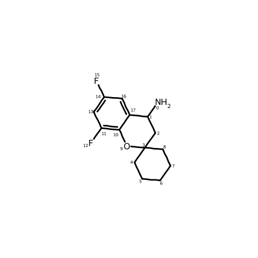 NC1CC2(CCCCC2)Oc2c(F)cc(F)cc21